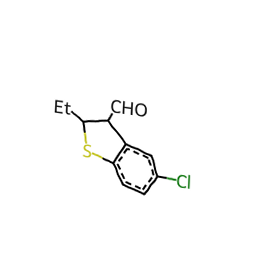 CCC1Sc2ccc(Cl)cc2C1C=O